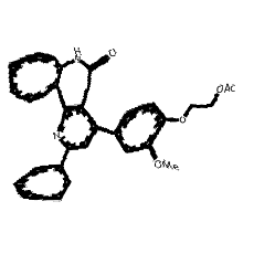 COc1cc(-c2cc(-c3ccccc3)nc3c2CC(=O)Nc2ccccc2-3)ccc1OCCOC(C)=O